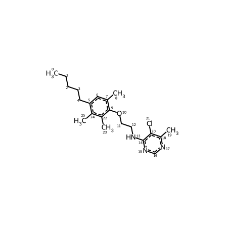 CCCCCc1cc(C)c(OCCNc2ncnc(C)c2Cl)c(C)c1C